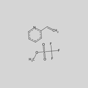 C=Cc1ccccn1.COS(=O)(=O)C(F)(F)F